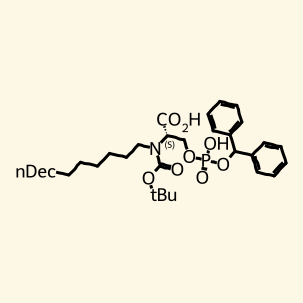 CCCCCCCCCCCCCCCCN(C(=O)OC(C)(C)C)[C@@H](COP(=O)(O)OC(c1ccccc1)c1ccccc1)C(=O)O